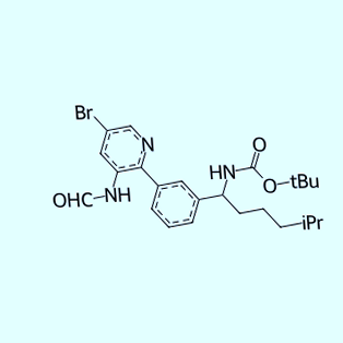 CC(C)CCCC(NC(=O)OC(C)(C)C)c1cccc(-c2ncc(Br)cc2NC=O)c1